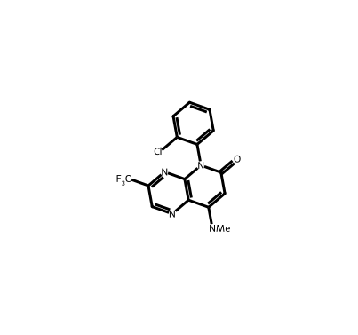 CNc1cc(=O)n(-c2ccccc2Cl)c2nc(C(F)(F)F)cnc12